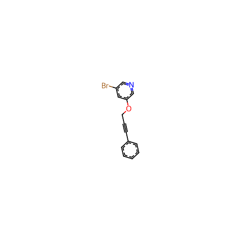 Brc1cncc(OCC#Cc2ccccc2)c1